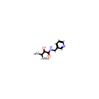 CCCC(NC)C(=O)C(=O)NCc1cccnc1